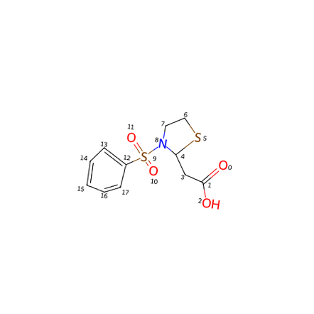 O=C(O)CC1SCCN1S(=O)(=O)c1ccccc1